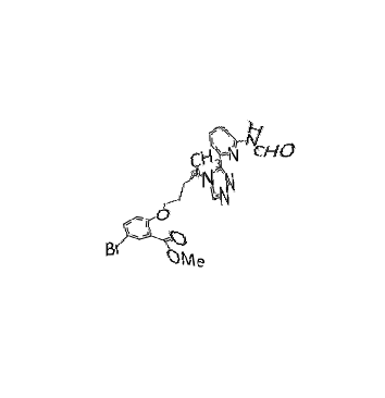 COC(=O)c1cc(Br)ccc1OCCC[C@@H](C)n1cnnc1-c1cccc(NC=O)n1